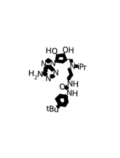 CC(C)N(CCCNC(=O)Nc1ccc(C(C)(C)C)cc1)C[C@@H]1C[C@@H](n2cnc3c(N)ncnc32)[C@H](O)[C@@H]1O